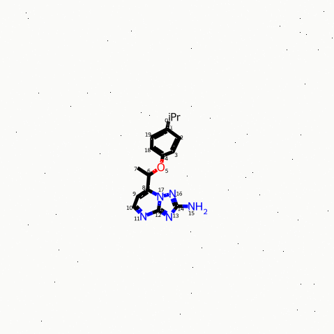 CC(C)c1ccc(OC(C)c2ccnc3nc(N)nn23)cc1